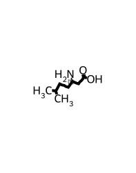 CC(C)CC[C@H](N)CC(=O)O